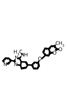 CNC1=NC(c2cccnc2)=NC2C=CC(c3cccc(OCc4ccc5cc(C)c(=O)oc5c4)c3)=CC12